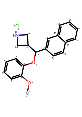 Cl.FC(F)(F)Oc1ccccc1OC(c1ccc2ccccc2c1)C1CNC1